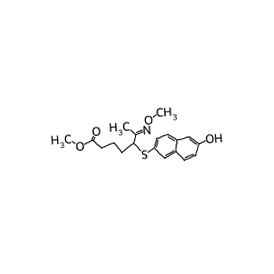 CON=C(C)C(CCCC(=O)OC)Sc1ccc2cc(O)ccc2c1